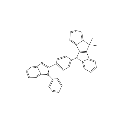 CC1(C)c2ccccc2-c2c1c1ccccc1n2-c1ccc(-c2nc3ccccc3n2-c2ccccc2)cc1